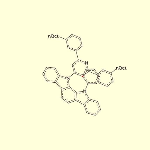 CCCCCCCCc1cccc(-c2cc(-n3c4ccccc4c4ccc5c6ccccc6n(-c6ccccc6)c5c43)cc(-c3cccc(CCCCCCCC)c3)n2)c1